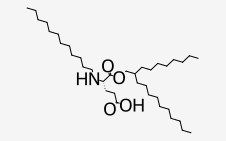 CCCCCCCCCCCCN[C@@H](CCC(=O)O)C(=O)OCC(CCCCCCCC)CCCCCCCCCC